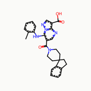 Cc1ccccc1Nc1c(C(=O)N2CCC3(CCc4ccccc43)CC2)cnc2c(C(=O)O)cnn12